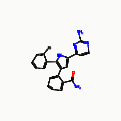 CCc1ccccc1-c1[nH]c(-c2ccnc(N)n2)cc1-c1ccccc1C(N)=O